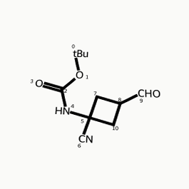 CC(C)(C)OC(=O)NC1(C#N)CC(C=O)C1